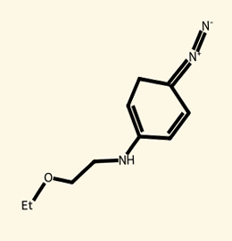 CCOCCNC1=CCC(=[N+]=[N-])C=C1